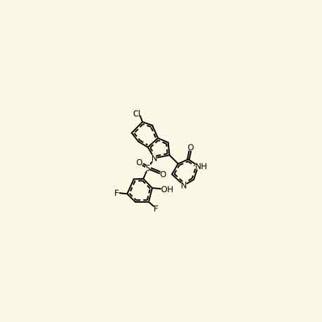 O=c1[nH]cncc1-c1cc2cc(Cl)ccc2n1S(=O)(=O)c1cc(F)cc(F)c1O